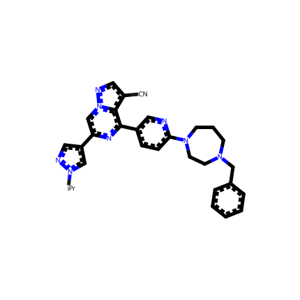 CC(C)n1cc(-c2cn3ncc(C#N)c3c(-c3ccc(N4CCCN(Cc5ccccc5)CC4)nc3)n2)cn1